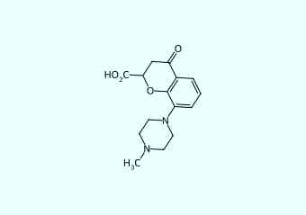 CN1CCN(c2cccc3c2OC(C(=O)O)CC3=O)CC1